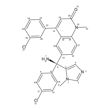 Cn1cncc1[C@](N)(c1ccc(Cl)cc1)c1ccc2c(c1)c(-c1cccc(Cl)c1)cc(=O)n2C